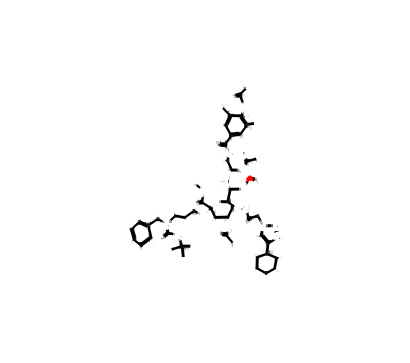 COC(=O)[C@@]1(OCCCN(Cc2ccccc2)C(=O)OC(C)(C)C)C[C@@H](OC(C)=O)[C@@H](NC(=O)Cn2cc(C3CCCCC3)nn2)C([C@@H](C[C@@H](CNC(=O)c2cc(C)c(OC(C)=O)c(C)c2)OC(C)=O)OC(C)=O)O1